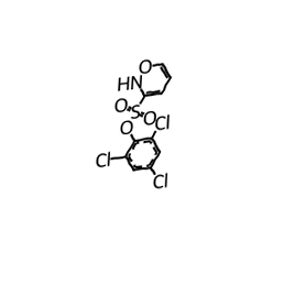 O=S(=O)(Oc1c(Cl)cc(Cl)cc1Cl)C1=CC=CON1